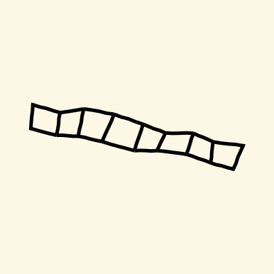 C1CC2C1C1C2C2C1C1C3C4C5CCC5C4C3C21